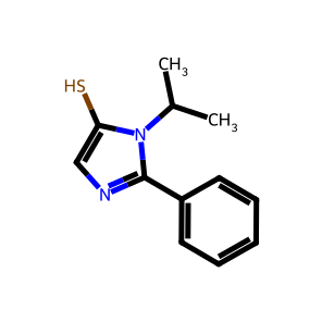 CC(C)n1c(S)cnc1-c1ccccc1